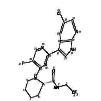 O=C(NCC(F)(F)F)[C@@H]1CCCCN1c1nc(-c2c[nH]c3ncc(Cl)cc23)ncc1F